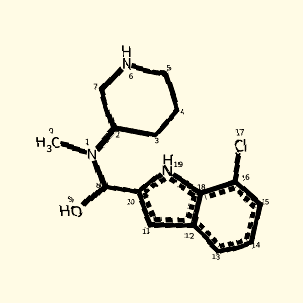 CN(C1CCCNC1)C(O)c1cc2cccc(Cl)c2[nH]1